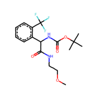 COCCNC(=O)C(NC(=O)OC(C)(C)C)c1ccccc1C(F)(F)F